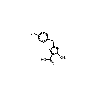 Cc1nc(Cc2ccc(Br)cc2)sc1C(=O)O